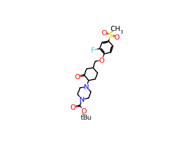 CC(C)(C)OC(=O)N1CCN(C2CCC(COc3ccc(S(C)(=O)=O)cc3F)CC2=O)CC1